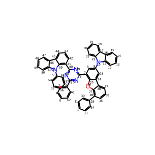 c1ccc(-c2nc(-c3cc(-n4c5ccccc5c5ccccc54)cc4c3oc3c(-c5ccccc5)cccc34)nc(-c3cccc4c5ccccc5n(-c5ccccc5)c34)n2)cc1